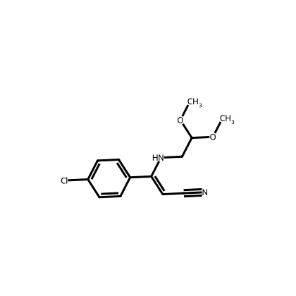 COC(CNC(=CC#N)c1ccc(Cl)cc1)OC